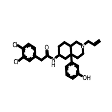 C=CCN1CCC2(c3cccc(O)c3)CC(NC(=O)Cc3ccc(Cl)c(Cl)c3)CCC2C1